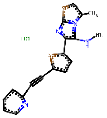 Cc1csc2nc(-c3ccc(C#Cc4ccccn4)s3)c(NC(C)(C)C)n12.Cl